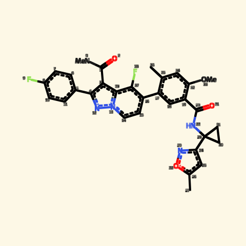 CNC(=O)c1c(-c2ccc(F)cc2)nn2ccc(-c3cc(C(=O)NC4(c5cc(C)on5)CC4)c(OC)cc3C)c(F)c12